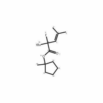 CC(C)=CC(F)(C(=O)OC1(C)CCCC1)C(C)(C)C